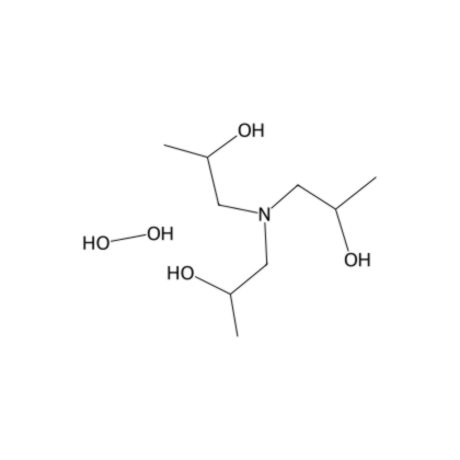 CC(O)CN(CC(C)O)CC(C)O.OO